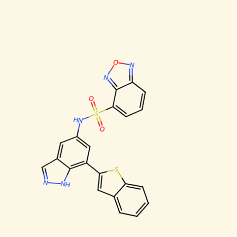 O=S(=O)(Nc1cc(-c2cc3ccccc3s2)c2[nH]ncc2c1)c1cccc2nonc12